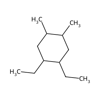 CCC1CC(C)C(C)CC1CC